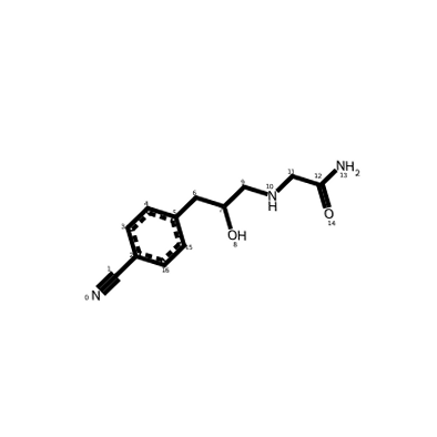 N#Cc1ccc(CC(O)CNCC(N)=O)cc1